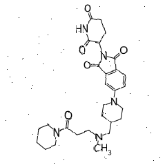 CN(CCC(=O)N1CCCCC1)CC1CCN(c2ccc3c(c2)C(=O)N(C2CCC(=O)NC2=O)C3=O)CC1